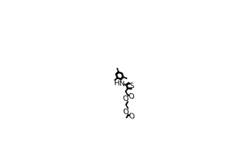 CC(=O)OCCCOC(=O)Cc1cscc1Nc1c(C)cc(C)cc1C